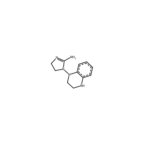 NC1=NCCN1N1CCNc2ccccc21